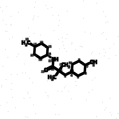 CC(C)(CN1CCC(O)CC1)C(=O)N[C@H]1CC[C@H](C)CC1